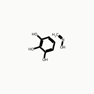 C=NO.Oc1cccc(O)c1O